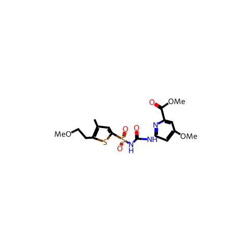 COCCc1sc(S(=O)(=O)NC(=O)Nc2cc(OC)cc(C(=O)OC)n2)cc1C